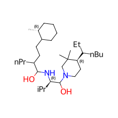 CCCCC(CC)[C@H]1CCN(C(O)[C@H](NC(O)C(CCC)CCC2CCCC[C@H]2C)C(C)C)CC1(C)C